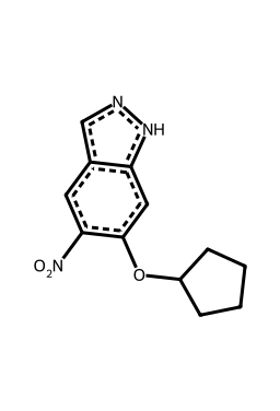 O=[N+]([O-])c1cc2cn[nH]c2cc1OC1CCCC1